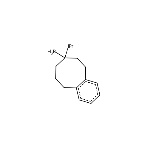 BC1(C(C)C)CCCc2ccccc2CC1